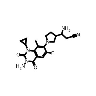 Cc1c(N2CCC(C(N)CC#N)C2)c(F)cc2c(=O)n(N)c(=O)n(C3CC3)c12